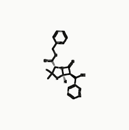 CC1(C)S[C@@H]2[C@H](C(O)c3cccnc3)C(=O)N2[C@H]1C(=O)OCc1ccccc1